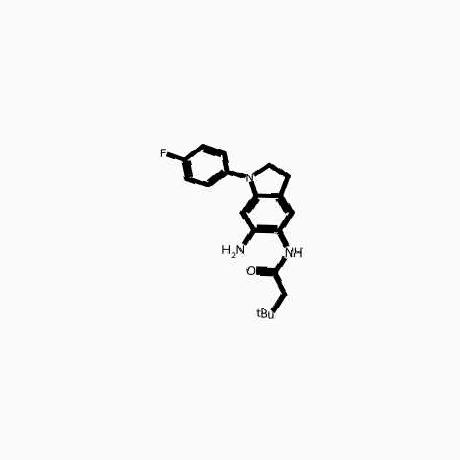 CC(C)(C)CC(=O)Nc1cc2c(cc1N)N(c1ccc(F)cc1)CC2